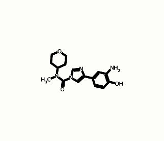 CN(C(=O)n1cnc(-c2ccc(O)c(N)c2)c1)C1CCOCC1